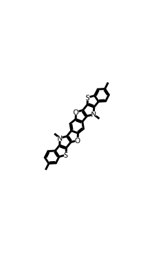 Cc1ccc2c(c1)sc1c3oc4cc5c(cc4c3n(C)c21)oc1c2sc3cc(C)ccc3c2n(C)c51